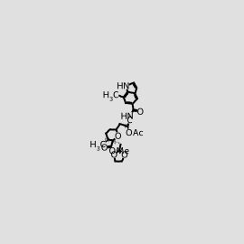 COC(=O)[C@]1(CC2OCCO2)OC(C[C@@H](CNC(=O)c2cc(C)c3[nH]ccc3c2)OC(C)=O)CC[C@@H]1C